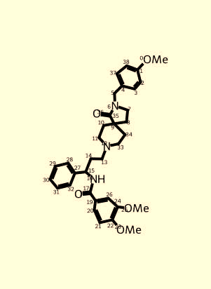 COc1ccc(CN2CCC3(CCN(CCC(NC(=O)c4ccc(OC)c(OC)c4)c4ccccc4)CC3)C2=O)cc1